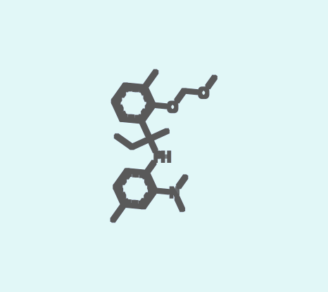 CCC(C)(Pc1ccc(C)cc1N(C)C)c1cccc(C)c1OCOC